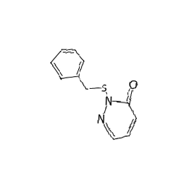 O=c1cccnn1SCc1ccccc1